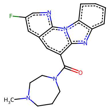 CN1CCCN(C(=O)c2cc3cc(F)cnc3n3c2nc2ccccc23)CC1